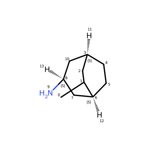 CC1C[C@@H]2CC[C@H]1C[C@@H](N)C2